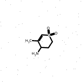 CC1=CS(=O)(=O)CCC1N